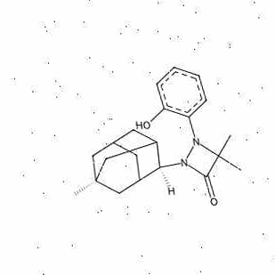 CC1(C)C(=O)N([C@H]2C3CC4CC2C[C@](C)(C4)C3)N1c1ccccc1O